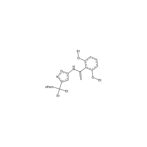 CCCCCC(CC)(CC)c1cc(NC(=S)c2c(OCC)cccc2OCC)on1